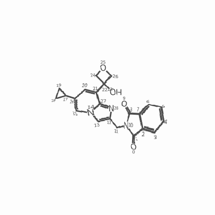 O=C1c2ccccc2C(=O)N1Cc1cn2cc(C3CC3)cc(C3(O)COC3)c2n1